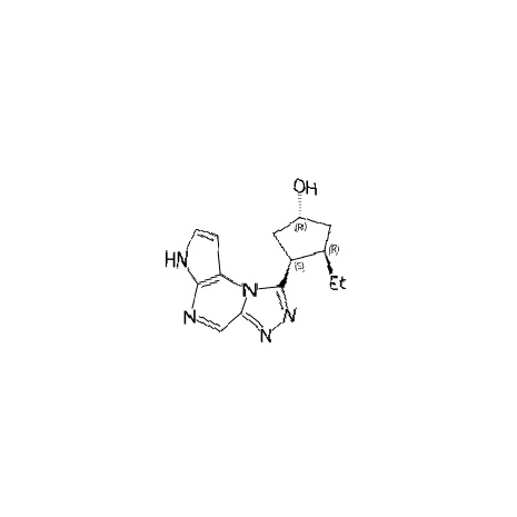 CC[C@@H]1C[C@@H](O)C[C@@H]1c1nnc2cnc3[nH]ccc3n12